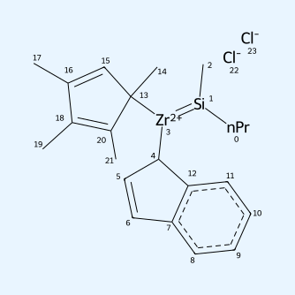 CCC[Si](C)=[Zr+2]([CH]1C=Cc2ccccc21)[C]1(C)C=C(C)C(C)=C1C.[Cl-].[Cl-]